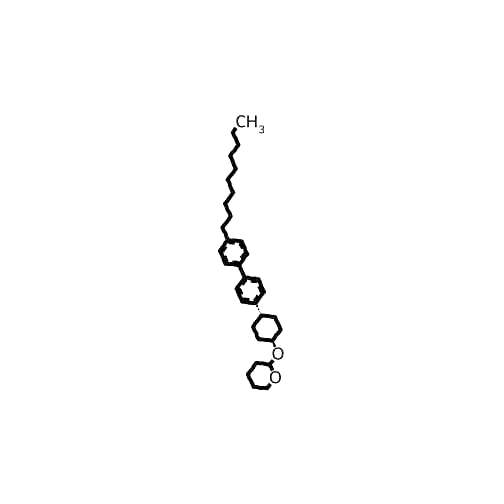 CCCCCCCCCCc1ccc(-c2ccc([C@H]3CC[C@H](OC4CCCCO4)CC3)cc2)cc1